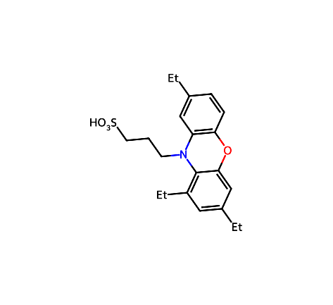 CCc1cc(CC)c2c(c1)Oc1ccc(CC)cc1N2CCCS(=O)(=O)O